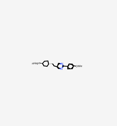 CCCCCCC[C@H]1CC[C@H](CCc2cnc(-c3ccc(OC)cc3)nc2)CC1